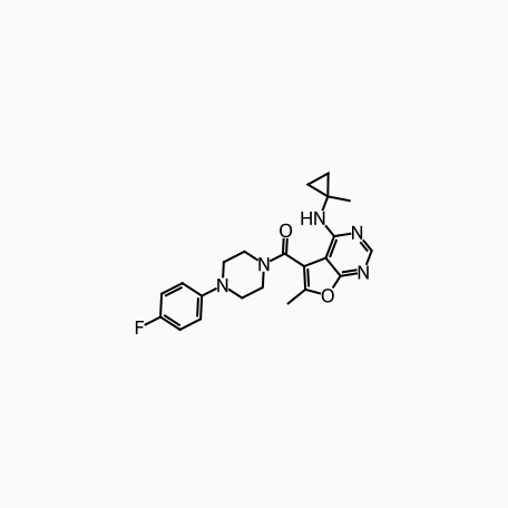 Cc1oc2ncnc(NC3(C)CC3)c2c1C(=O)N1CCN(c2ccc(F)cc2)CC1